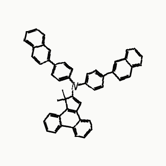 CC1(C)C(N(c2ccc(-c3ccc4ccccc4c3)cc2)c2ccc(-c3ccc4ccccc4c3)cc2)=Cc2c1c1ccccc1c1ccccc21